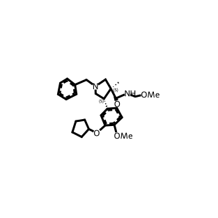 COCNC(=O)[C@]1(C)CN(Cc2ccccc2)C[C@H]1c1ccc(OC)c(OC2CCCC2)c1